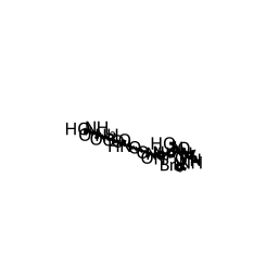 Cc1ccc(Br)nc1NC(=O)[C@@H]1C[C@@]2(CN(C)C)CC2N1C(=O)Cn1nc(C(C)O)c2cc(-c3cnc(CNC(=O)COCCOCCNC(=O)COCCOCCNC(=O)CC[C@H](N)C(=O)O)nc3)ccc21